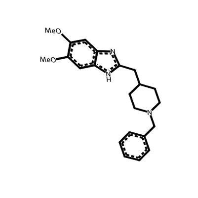 COc1cc2nc(CC3CCN(Cc4ccccc4)CC3)[nH]c2cc1OC